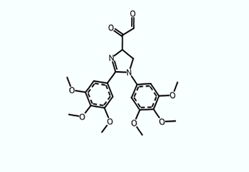 COc1cc(C2=NC(C(=O)C=O)CN2c2cc(OC)c(OC)c(OC)c2)cc(OC)c1OC